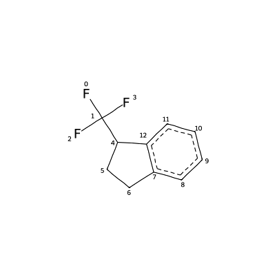 FC(F)(F)C1CCc2ccccc21